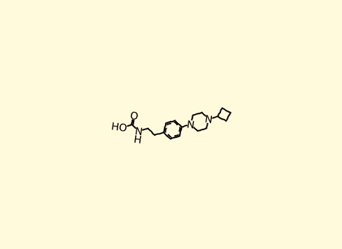 O=C(O)NCCc1ccc(N2CCN(C3CCC3)CC2)cc1